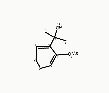 COC1=C[CH]CC=C1C(C)(C)O